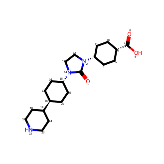 O=C1N([C@H]2CC[C@@H](C(=O)O)CC2)CCN1[C@H]1CC[C@H](C2CCNCC2)CC1